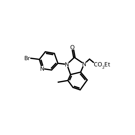 CCOC(=O)Cn1c(=O)n(-c2ccc(Br)nc2)c2c(C)cccc21